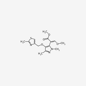 CO/C=C(/C(=O)OC)c1c(OCc2csc(C)n2)c(C)nn1C